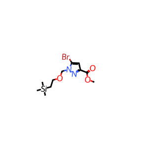 COC(=O)c1cc(Br)n(COCC[Si](C)(C)C)n1